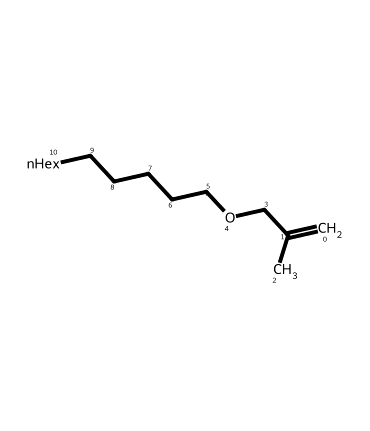 C=C(C)CO[CH]CCCCCCCCCC